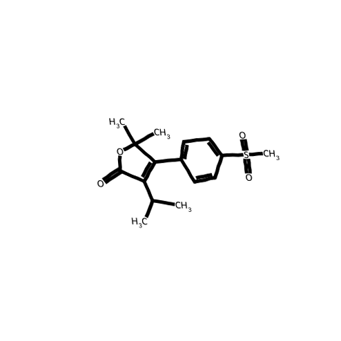 CC(C)C1=C(c2ccc(S(C)(=O)=O)cc2)C(C)(C)OC1=O